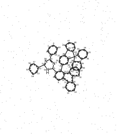 c1ccc(C2=NC(c3ccc4c5ccccc5c5ccccc5c4c3-c3ccc4c(c3)C(c3ccccc3)(c3ccccc3)c3ccccc3-4)NC(c3ccccc3)=N2)cc1